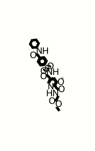 CCOC(=O)CNC(=O)c1ncc(C(=O)NS(=O)(=O)c2ccc(C(=O)NC3CCCCC3)cc2)cc1OC